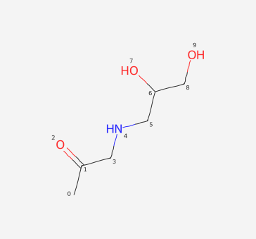 CC(=O)CNCC(O)CO